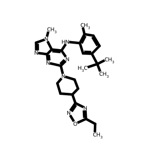 CCc1nc(C2CCN(c3nc(Nc4cc(C(C)(C)C)ccc4C)c4c(ncn4C)n3)CC2)no1